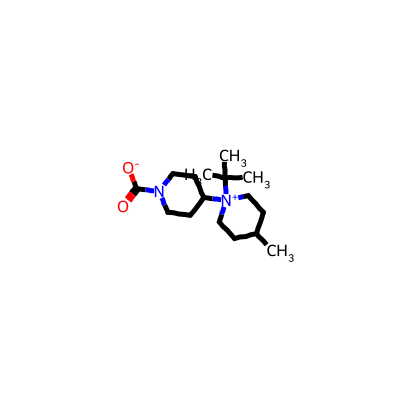 CC1CC[N+](C2CCN(C(=O)[O-])CC2)(C(C)(C)C)CC1